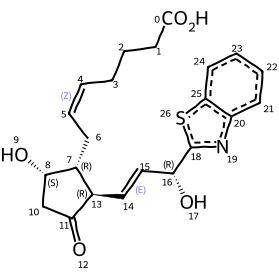 O=C(O)CCC/C=C\C[C@H]1[C@@H](O)CC(=O)[C@@H]1/C=C/[C@@H](O)c1nc2ccccc2s1